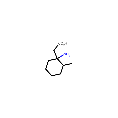 CC1CCCCC1(N)CC(=O)O